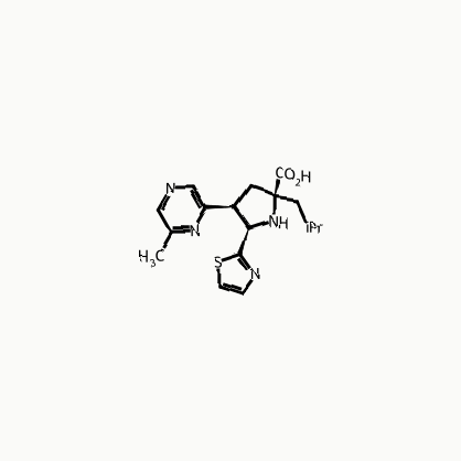 Cc1cncc([C@H]2C[C@@](CC(C)C)(C(=O)O)N[C@H]2c2nccs2)n1